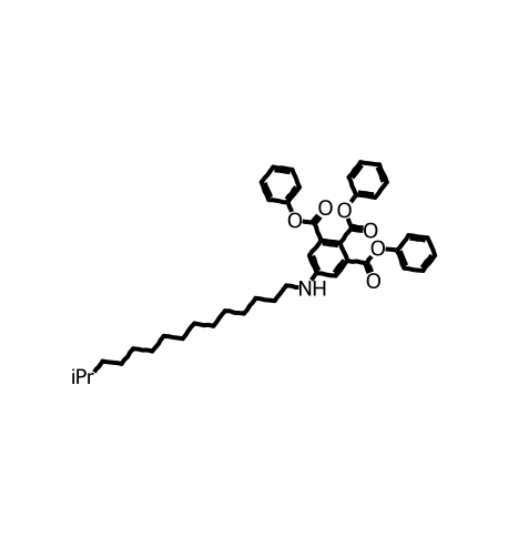 CC(C)CCCCCCCCCCCCCNc1cc(C(=O)Oc2ccccc2)c(C(=O)Oc2ccccc2)c(C(=O)Oc2ccccc2)c1